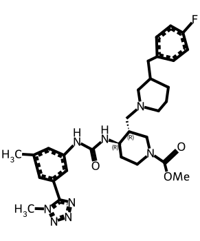 COC(=O)N1CC[C@@H](NC(=O)Nc2cc(C)cc(-c3nnnn3C)c2)[C@H](CN2CCCC(Cc3ccc(F)cc3)C2)C1